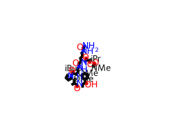 CCC(C)C(C(CC(=O)N1CCC[C@H]1C(OC)C(C)C(=O)NC(C)C(O)c1ccccc1)OC)N(C)C(=O)C(CCCNC(N)=O)NC(=O)C(OC(=O)NC)C(C)C